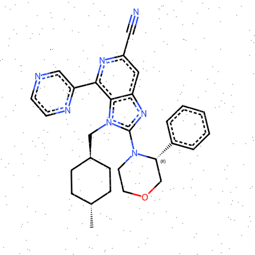 C[C@H]1CC[C@H](Cn2c(N3CCOC[C@H]3c3ccccc3)nc3cc(C#N)nc(-c4cnccn4)c32)CC1